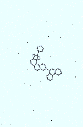 c1ccc(-c2nc3ccc4ccc5cc(-c6cc7ccccc7c7ccccc67)ccc5c4c3o2)cc1